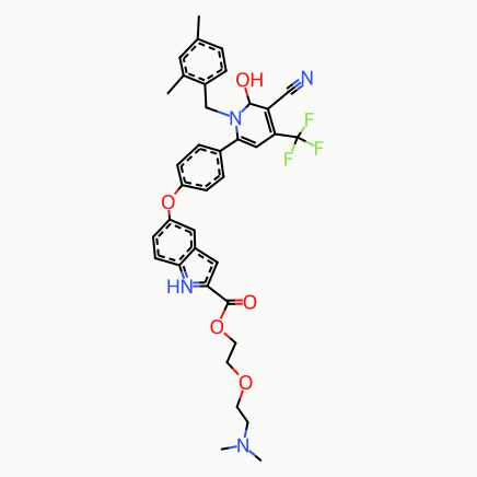 Cc1ccc(CN2C(c3ccc(Oc4ccc5[nH]c(C(=O)OCCOCCN(C)C)cc5c4)cc3)=CC(C(F)(F)F)=C(C#N)C2O)c(C)c1